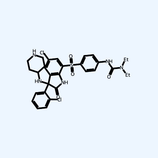 CCN(CC)C(=O)Nc1ccc(S(=O)(=O)c2cc(Cl)cc3c2NC(=O)C3(NC2CCNCC2)c2ccccc2Cl)cc1